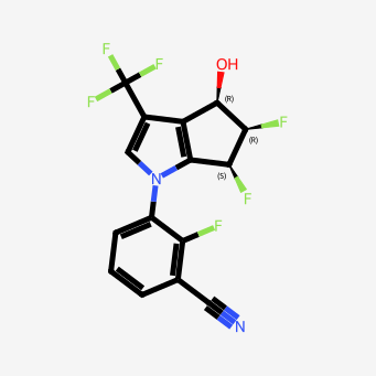 N#Cc1cccc(-n2cc(C(F)(F)F)c3c2[C@H](F)[C@H](F)[C@@H]3O)c1F